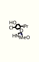 CO/C=C(\C=N)Oc1cc(Cl)c(O)cc1C(C)C